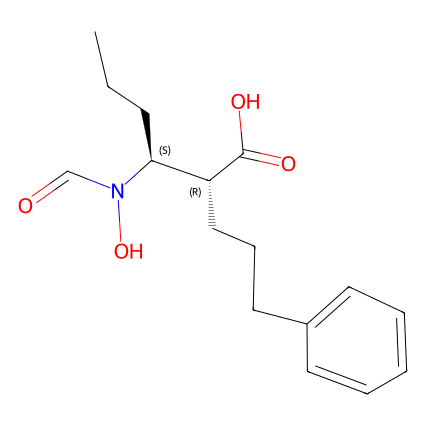 CCC[C@@H]([C@@H](CCCc1ccccc1)C(=O)O)N(O)C=O